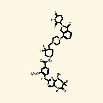 COc1cc(C(=O)NN2CCC(CN3CCN(c4cccc5c4CN(C4CCC(=O)NC4=O)C5=O)CC3)C(F)(F)C2)ccc1Nc1ncc2c(n1)N(C(C)C)CC(F)(F)C(=O)N2C